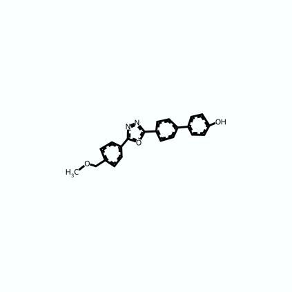 COCc1ccc(-c2nnc(-c3ccc(-c4ccc(O)cc4)cc3)o2)cc1